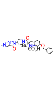 CN1C=C2C(=O)N(C3CCN(C(=O)[C@](Cc4ccc(OCc5ccccc5)cc4)(NC(=O)O)C(C)(C)C)CC3)CN2C1